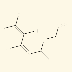 COCOC(C)/N=C(Cl)\C(Cl)=C(/C)F